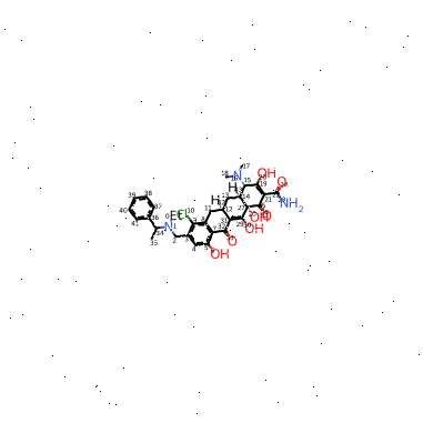 CCN(Cc1cc(O)c2c(c1Cl)C[C@H]1C[C@H]3[C@H](N(C)C)C(O)=C(C(N)=O)C(=O)[C@@]3(O)C(O)=C1C2=O)C(C)c1ccccc1